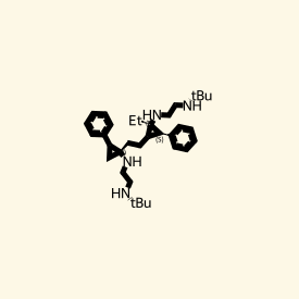 CC[C@@]1(NCCNC(C)(C)C)C(CC[C@@]2(NCCNC(C)(C)C)CC2c2ccccc2)[C@H]1c1ccccc1